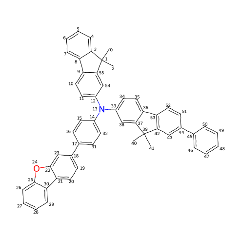 CC1(C)c2ccccc2-c2ccc(N(c3ccc(-c4ccc5c(c4)oc4ccccc45)cc3)c3ccc4c(c3)C(C)(C)c3cc(-c5ccccc5)ccc3-4)cc21